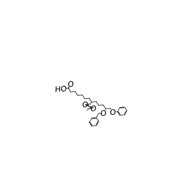 CS(=O)(=O)C(CCCCCCC(=O)O)CCCC(COc1ccccc1)OCc1ccccc1